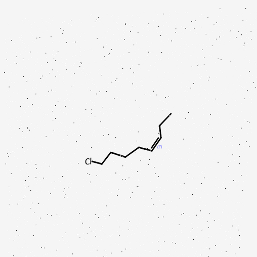 CC/C=C\CCCCCl